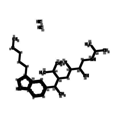 COCCCc1c[nH]c2ccc(C(C)C(CC(N)C(O)CNC(C)C)C(C)C)cc12.Cl.Cl